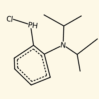 CC(C)N(c1ccccc1PCl)C(C)C